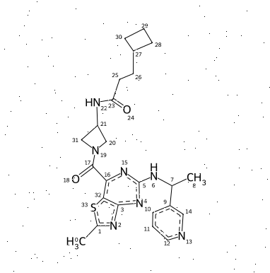 Cc1nc2nc(NC(C)c3cccnc3)nc(C(=O)N3CC(NC(=O)CCC4CCC4)C3)c2s1